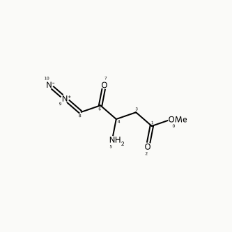 COC(=O)CC(N)C(=O)C=[N+]=[N-]